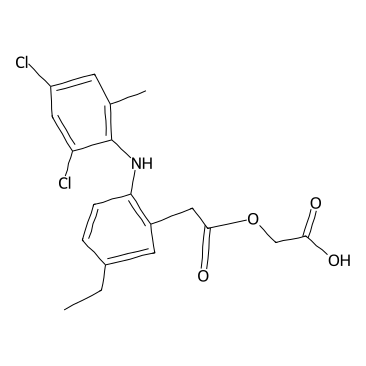 CCc1ccc(Nc2c(C)cc(Cl)cc2Cl)c(CC(=O)OCC(=O)O)c1